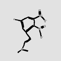 CN(C)C=Cc1cc(F)cc([N+](=O)[O-])c1[N+](=O)[O-]